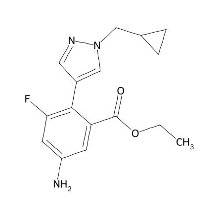 CCOC(=O)c1cc(N)cc(F)c1-c1cnn(CC2CC2)c1